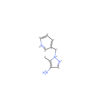 Cc1c(N)cnn1Cc1cccnc1